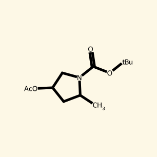 CC(=O)OC1CC(C)N(C(=O)OC(C)(C)C)C1